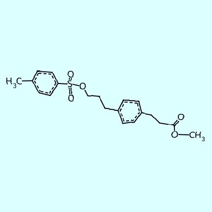 COC(=O)CCc1ccc(CCCOS(=O)(=O)c2ccc(C)cc2)cc1